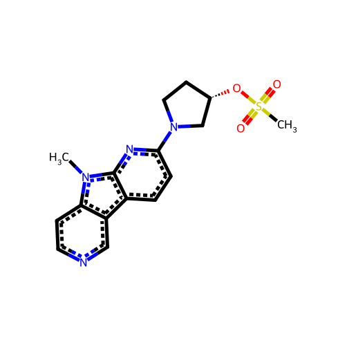 Cn1c2ccncc2c2ccc(N3CC[C@H](OS(C)(=O)=O)C3)nc21